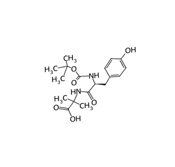 CC(C)(C)OC(=O)N[C@@H](Cc1ccc(O)cc1)C(=O)NC(C)(C)C(=O)O